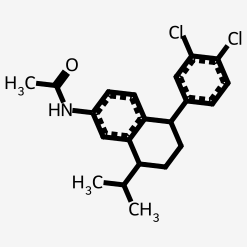 CC(=O)Nc1ccc2c(c1)C(C(C)C)CCC2c1ccc(Cl)c(Cl)c1